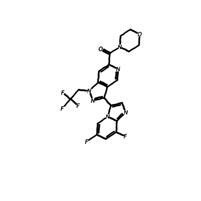 O=C(c1cc2c(cn1)c(-c1cnc3c(F)cc(F)cn13)nn2CC(F)(F)F)N1CCOCC1